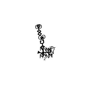 CC(C)n1nc(-c2noc(C3CC3)c2-c2ncc(C3CCN(C(=O)OC4CC5(C4)CC(C4OCCO4)C5)CC3)cn2)c2c(N)ncnc21